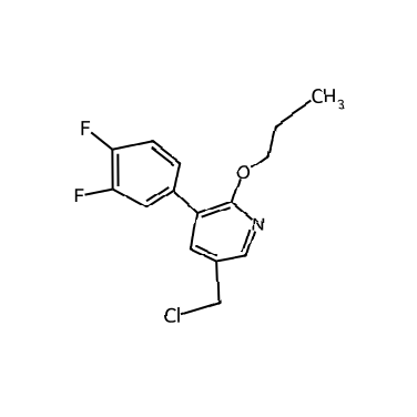 CCCOc1ncc(CCl)cc1-c1ccc(F)c(F)c1